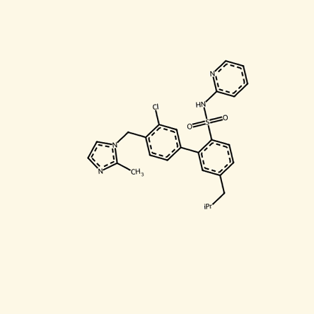 Cc1nccn1Cc1ccc(-c2cc(CC(C)C)ccc2S(=O)(=O)Nc2ccccn2)cc1Cl